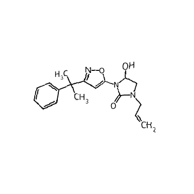 C=CCN1CC(O)N(c2cc(C(C)(C)c3ccccc3)no2)C1=O